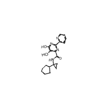 O=C(NC1(C2CCCCC2)CC1)c1nc(-c2ccccn2)nc(O)c1O